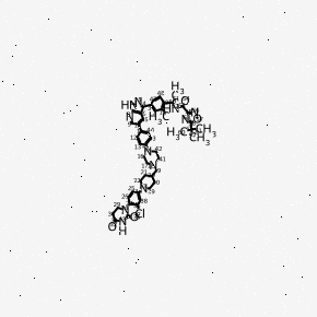 Cc1cc(-c2n[nH]c3ncc(-c4ccc(N5CCN(CC6CCN(c7ccc(N8CCC(=O)NC8=O)c(Cl)c7)CC6)CC5)cc4)cc23)ccc1[C@@H](C)NC(=O)c1noc(C(C)(C)C)n1